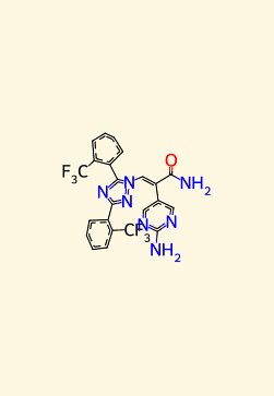 NC(=O)C(=Cn1nc(-c2ccccc2C(F)(F)F)nc1-c1ccccc1C(F)(F)F)c1cnc(N)nc1